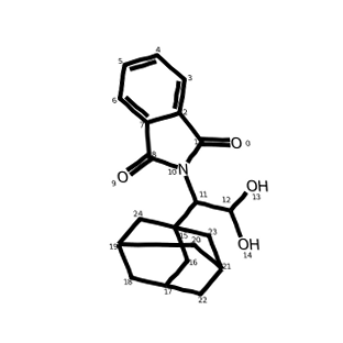 O=C1c2ccccc2C(=O)N1C(C(O)O)C12CC3CC(CC(C3)C1)C2